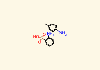 Cc1ccc(N)cc1.Nc1ccccc1S(=O)(=O)O